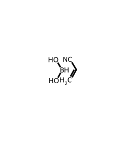 C=CC#N.OBO